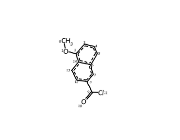 COc1cccc2cc(C(=O)Cl)ccc12